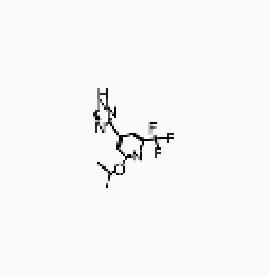 CC(C)Oc1cc(-c2nc[nH]n2)cc(C(F)(F)F)n1